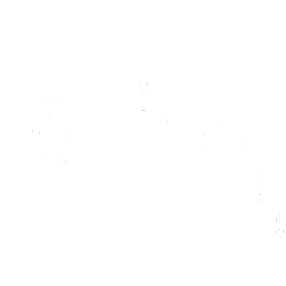 C=COCC1CCC(COC(=O)CCc2ccc3c(c2)OCO3)CC1